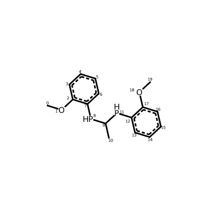 COc1ccccc1PC(C)Pc1ccccc1OC